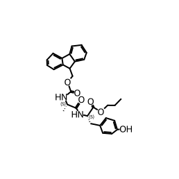 CCCOC(=O)[C@H](Cc1ccc(O)cc1)NC(=O)[C@H](C)NC(=O)OCC1c2ccccc2-c2ccccc21